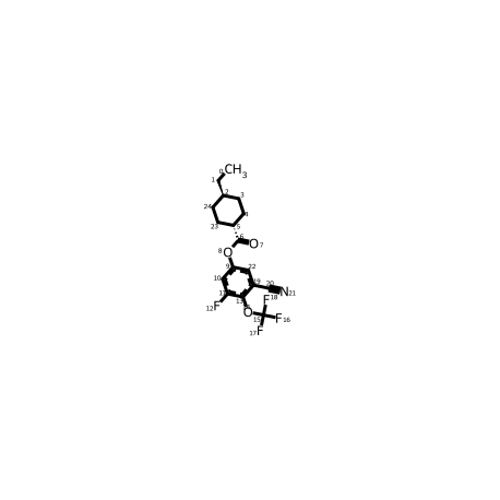 CC[C@H]1CC[C@H](C(=O)Oc2cc(F)c(OC(F)(F)F)c(C#N)c2)CC1